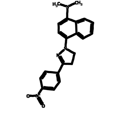 CN(C)c1ccc(N2CCC(c3ccc([N+](=O)[O-])cc3)=N2)c2ccccc12